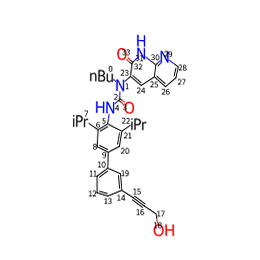 CCCCN(C(=O)Nc1c(C(C)C)cc(-c2cccc(C#CCO)c2)cc1C(C)C)c1cc2cccnc2[nH]c1=O